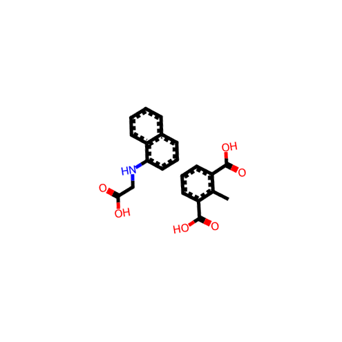 Cc1c(C(=O)O)cccc1C(=O)O.O=C(O)CNc1cccc2ccccc12